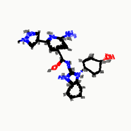 Cn1cc(-c2cc(C(=O)/N=c3\[nH]c4ccccc4n3[C@H]3CC[C@@H](O)CC3)cc(N)n2)cn1